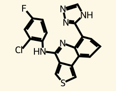 Fc1ccc(Nc2nc3c(-c4nnc[nH]4)cccc3c3cscc23)c(Cl)c1